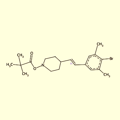 Cc1cc(/C=C/C2CCN(OC(=O)C(C)(C)C)CC2)cc(C)c1Br